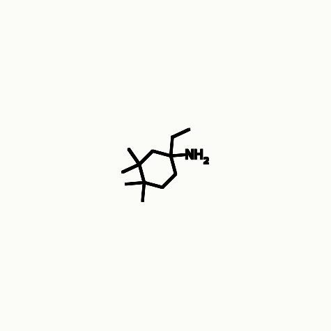 CCC1(N)CCC(C)(C)C(C)(C)C1